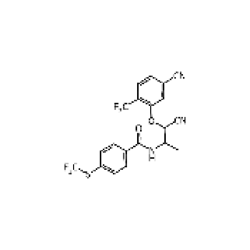 CC(NC(=O)c1ccc(SC(F)(F)F)cc1)C(C#N)Oc1cc(C#N)ccc1C(F)(F)F